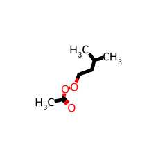 CC(=O)OOCCC(C)C